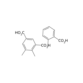 Cc1cc(C(=O)O)cc(C(=O)O)c1C.Cc1ccccc1C(=O)O